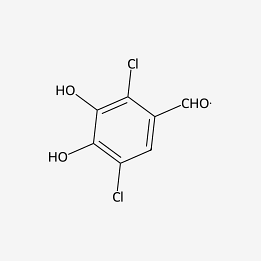 O=[C]c1cc(Cl)c(O)c(O)c1Cl